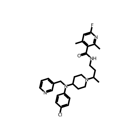 Cc1cc(F)nc(C)c1C(=O)NCCC(C)N1CCC(N(Cc2cccnc2)c2ccc(Cl)cc2)CC1